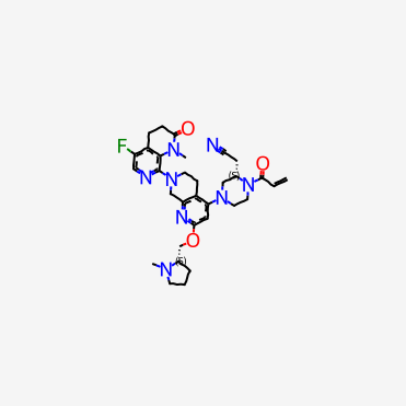 C=CC(=O)N1CCN(c2cc(OC[C@@H]3CCCN3C)nc3c2CCN(c2ncc(F)c4c2N(C)C(=O)CC4)C3)C[C@@H]1CC#N